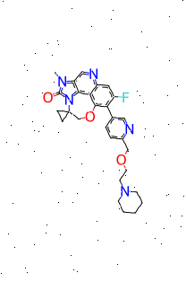 Cn1c(=O)n2c3c4c(c(-c5ccc(COCCN6CCCCC6)nc5)c(F)cc4ncc31)OCC21CC1